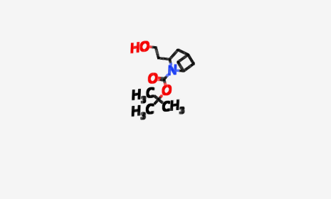 CC(C)(C)OC(=O)N1C(CCO)CC2CC1C2